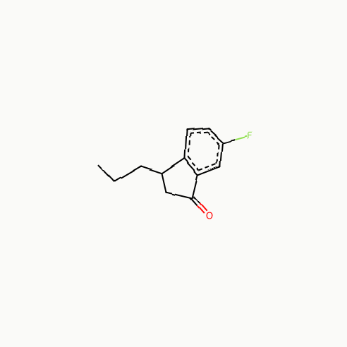 CCCC1CC(=O)c2cc(F)ccc21